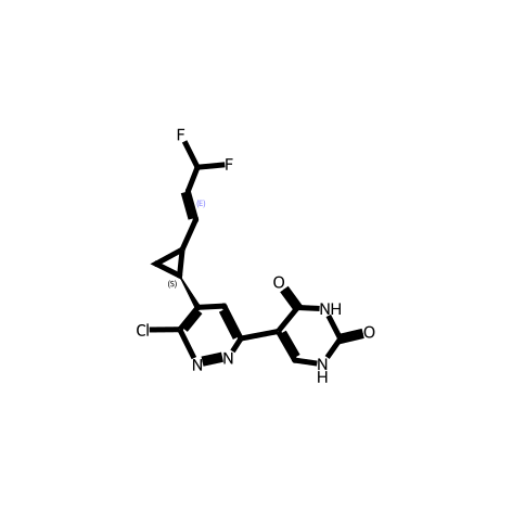 O=c1[nH]cc(-c2cc([C@H]3CC3/C=C/C(F)F)c(Cl)nn2)c(=O)[nH]1